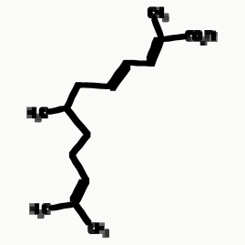 CCOC(=O)C(C)=CC=CCC(C)CCC=C(C)C